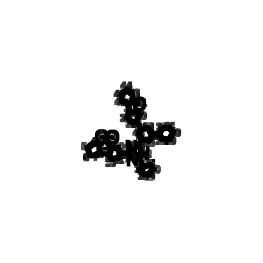 O=S1(=O)c2ccccc2-c2ccc(-c3nc(-c4ccccc4)nc(-c4cc(-c5ccccc5)cc(-c5ccc6c(c5)oc5ccccc56)c4)n3)cc21